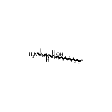 CCCCCCCCCCCCC(O)CNCCNCCNCCN